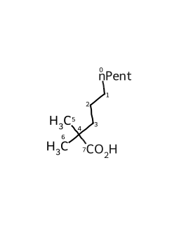 CCCCCCCCC(C)(C)C(=O)O